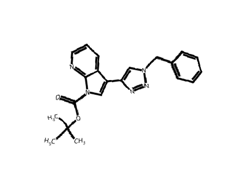 CC(C)(C)OC(=O)n1cc(-c2cn(Cc3ccccc3)nn2)c2cccnc21